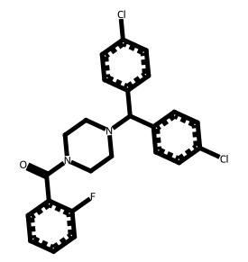 O=C(c1ccccc1F)N1CCN(C(c2ccc(Cl)cc2)c2ccc(Cl)cc2)CC1